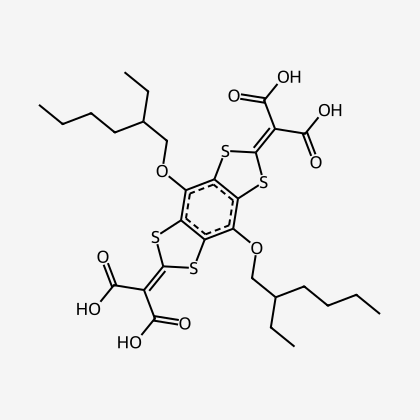 CCCCC(CC)COc1c2c(c(OCC(CC)CCCC)c3c1SC(=C(C(=O)O)C(=O)O)S3)SC(=C(C(=O)O)C(=O)O)S2